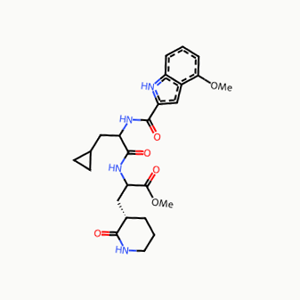 COC(=O)C(C[C@@H]1CCCNC1=O)NC(=O)C(CC1CC1)NC(=O)c1cc2c(OC)cccc2[nH]1